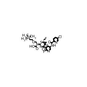 C[C@]1(c2cc(NC(=O)c3ccc(Cl)cn3)cnc2F)N=C(N(COCC[Si](C)(C)C)C(=O)O)S[C@@]2(CF)C[C@H]21